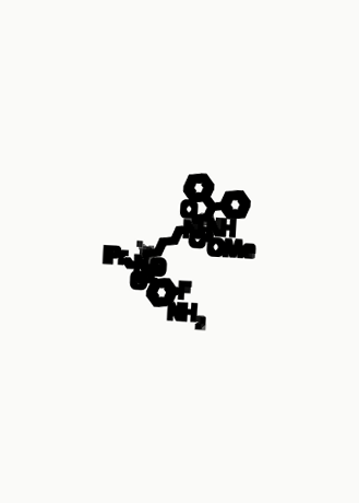 COC(=O)N[C@H](C(=O)NCCCC[C@@H](C)N(CC(C)C)S(=O)(=O)c1ccc(N)c(F)c1)C(c1ccccc1)c1ccccc1